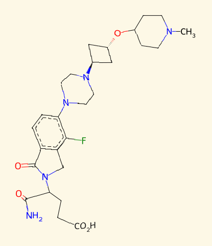 CN1CCC(O[C@H]2C[C@H](N3CCN(c4ccc5c(c4F)CN(C(CCC(=O)O)C(N)=O)C5=O)CC3)C2)CC1